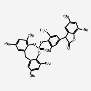 Cc1cc(C2C(=O)Oc3c2cc(C(C)(C)C)cc3C(C)(C)C)cc(C(C)(C)C)c1OP1(=O)Oc2c(cc(C(C)(C)C)cc2C(C)(C)C)Cc2cc(C(C)(C)C)cc(C(C)(C)C)c2O1